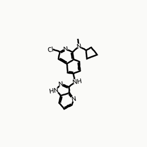 CN(c1nc(Cl)cc2cc(Nc3n[nH]c4cccnc34)ccc12)C1CCC1